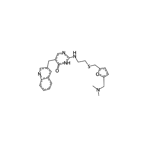 CN(C)Cc1ccc(CSCCNc2ncc(Cc3cnc4ccccc4c3)c(=O)[nH]2)o1